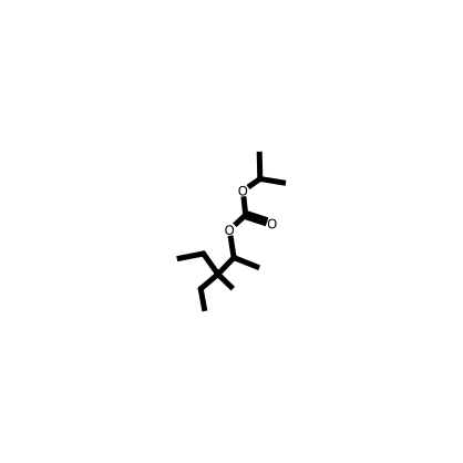 CCC(C)(CC)C(C)OC(=O)OC(C)C